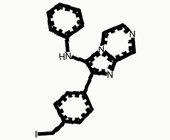 ICc1ccc(-c2nc3cnccn3c2Nc2ccccc2)cc1